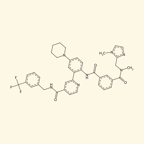 CN(Cc1nccn1C)C(=O)c1cccc(C(=O)Nc2ccc(N3CCCCC3)cc2-c2cc(C(=O)NCc3cccc(C(F)(F)F)c3)ccn2)c1